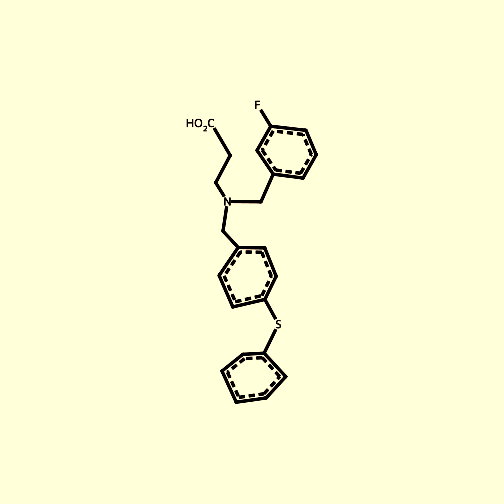 O=C(O)CCN(Cc1ccc(Sc2ccccc2)cc1)Cc1cccc(F)c1